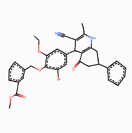 CCOc1cc(C2C(C#N)=C(C)NC3=C2C(=O)CC(c2ccccc2)C3)cc(Br)c1OCc1cccc(C(=O)OC)c1